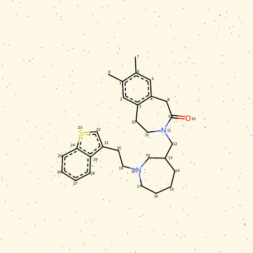 Cc1cc2c(cc1C)CC(=O)N(CC1CCCCN(CCc3csc4ccccc34)C1)CC2